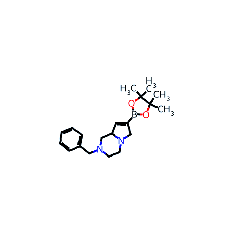 CC1(C)OB(C2=CC3CN(Cc4ccccc4)CCN3C2)OC1(C)C